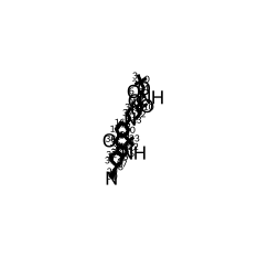 CC(C)(C)OC(=O)NS(=O)(=O)N1CCN(c2ccc3c(c2)C(C)(C)c2[nH]c4cc(C#N)ccc4c2C3=O)CC1